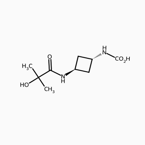 CC(C)(O)C(=O)N[C@H]1C[C@H](NC(=O)O)C1